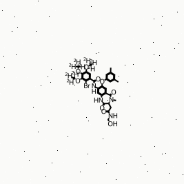 [2H]C([2H])([2H])Oc1cc(C(=O)Nc2cc3c(cc2Oc2cc(C)cc(C)c2)C(=O)N(C)C(CC(=O)NCO)C(=O)N3)c(Br)c(OC([2H])([2H])[2H])c1OC([2H])([2H])[2H]